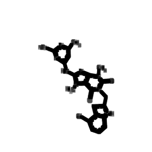 CCCc1nc(C)cc(Nc2nc3c(c(=O)n(Cc4cc5c(Cl)cccc5[nH]4)c(=O)n3C)n2C)n1